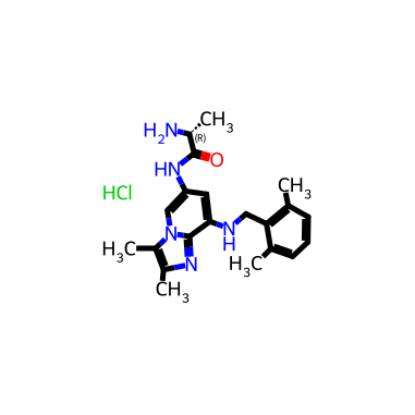 Cc1cccc(C)c1CNc1cc(NC(=O)[C@@H](C)N)cn2c(C)c(C)nc12.Cl